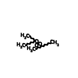 CCCCCCC(CCCC)OC(=O)OC(CCCC)CCCCCC